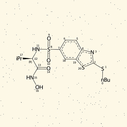 CCCCSc1nc2ccc(S(=O)(=O)N[C@@H](C(=O)NO)C(C)C)cc2s1